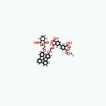 COC(=O)c1ccc(-c2ccc(C(=O)O)c(C(=O)OCCOc3ccc4c(c3)C3(c5ccccc5-4)c4ccccc4-c4ccc(OCCOC(=O)C5CC=CCC5C(=O)O)cc43)c2)cc1C(=O)O